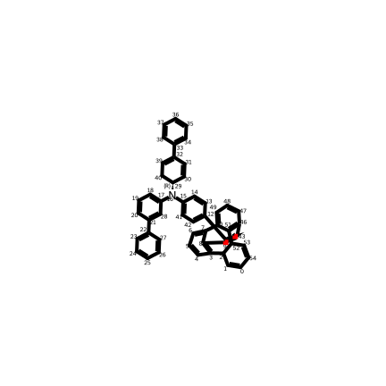 C1=CC2c3cccc4c3-c3cc(-c5ccc(N(c6cccc(-c7ccccc7)c6)[C@H]6C=CC(c7ccccc7)=CC6)cc5)ccc3-c3cccc-4c3C2C=C1